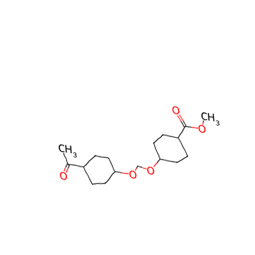 COC(=O)C1CCC(OCOC2CCC(C(C)=O)CC2)CC1